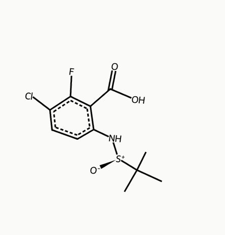 CC(C)(C)[S@@+]([O-])Nc1ccc(Cl)c(F)c1C(=O)O